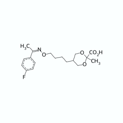 CC(=NOCCCCC1COC(C)(C(=O)O)OC1)c1ccc(F)cc1